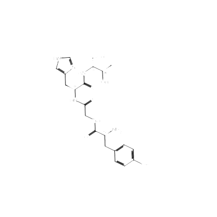 C[C@@H](O)[C@H](NC(=O)[C@H](Cc1c[nH]cn1)NC(=O)CNC(=O)[C@@H](N)Cc1ccc(O)cc1)C(=O)O